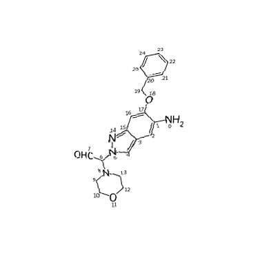 Nc1cc2cn(C(C=O)N3CCOCC3)nc2cc1OCc1ccccc1